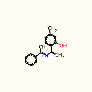 C=C(/N=C(\C)c1ccccc1)c1ccc(C)cc1O